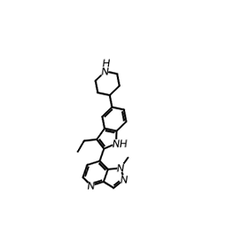 CCc1c(-c2ccnc3cnn(C)c23)[nH]c2ccc(C3CCNCC3)cc12